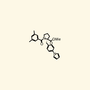 COC(=O)[C@]1(Cc2ccc(-n3cccc3)cc2)CCCN1C(=O)c1cc(C)cc(C)c1